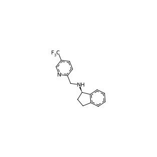 FC(F)(F)c1ccc(CN[C@@H]2CCc3ccccc32)nc1